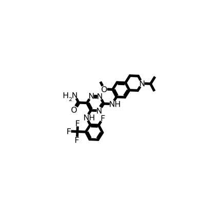 COc1cc2c(cc1Nc1nnc(C(N)=O)c(Nc3c(F)cccc3C(F)(F)F)n1)CN(C(C)C)CC2